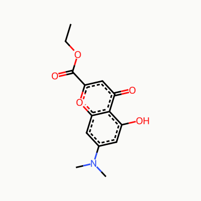 CCOC(=O)c1cc(=O)c2c(O)cc(N(C)C)cc2o1